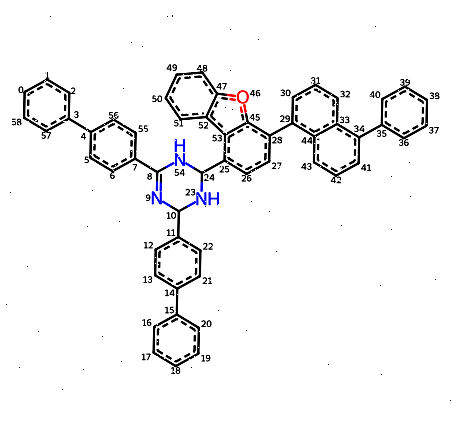 c1ccc(-c2ccc(C3=NC(c4ccc(-c5ccccc5)cc4)NC(c4ccc(-c5cccc6c(-c7ccccc7)cccc56)c5oc6ccccc6c45)N3)cc2)cc1